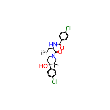 CC(C)C[C@@H](NC(=O)c1ccc(Cl)cc1)C(=O)N1CC[C@](O)(c2ccc(Cl)cc2)C(C)(C)C1